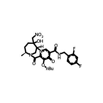 CCCCOc1c2n(cc(C(=O)NCc3ccc(F)cc3F)c1=O)[C@@H]1CN(C2=O)[C@@H](C)CCC1(O)C[N+](=O)[O-]